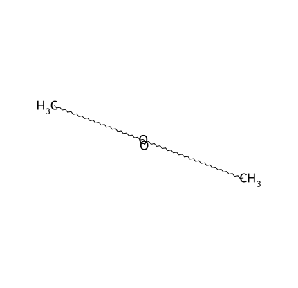 CCCCCCCCCCCCCCCCCCCCCCCCCCCCCCCCCCCC(=O)OCCCCCCCCCCCCCCCCCCCCCCCCCCCCCCCC